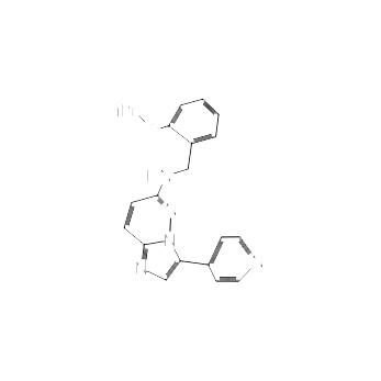 CC(C)Oc1ccccc1CNc1ccc2ncc(-c3ccncc3)n2n1